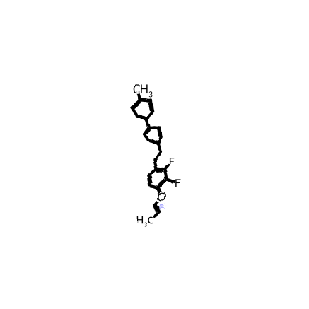 C/C=C/Oc1ccc(CCc2ccc(-c3ccc(C)cc3)cc2)c(F)c1F